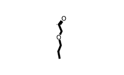 CCCOC[C]=O